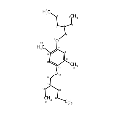 CCCC(CC)COc1cc(C)c(OCC(CC)CCC)cc1C